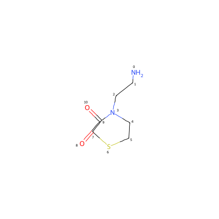 NCCN1CCSC(=O)C1=O